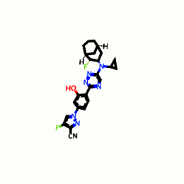 N#Cc1nn(-c2ccc(-c3ncc(N(C4CC4)[C@H]4C[C@@H]5CCC[C@@H](C5)[C@H]4F)nn3)c(O)c2)cc1F